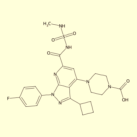 CNS(=O)(=O)NC(=O)c1cc(N2CCN(C(=O)O)CC2)c2c(C3CCC3)nn(-c3ccc(F)cc3)c2n1